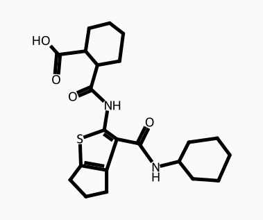 O=C(NC1CCCCC1)c1c(NC(=O)C2CCCCC2C(=O)O)sc2c1CCC2